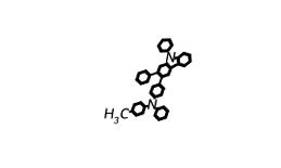 Cc1ccc(N(c2ccccc2)c2ccc(-c3cc4c5ccccc5n(-c5ccccc5)c4cc3-c3ccccc3)cc2)cc1